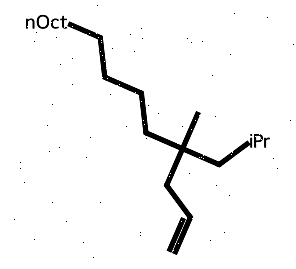 C=CCC(C)(CCCCCCCCCCCC)CC(C)C